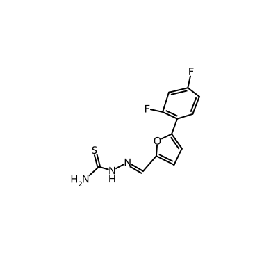 NC(=S)NN=Cc1ccc(-c2ccc(F)cc2F)o1